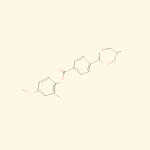 CCCCCC1COC(c2ccc(C(=O)Oc3ccc(OCC)cc3C)cc2)OC1